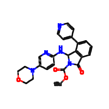 CC(C)(C)OC(=O)N1C(=O)c2cccc(-c3ccncc3)c2C1Nc1ccc(N2CCOCC2)cn1